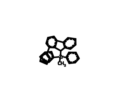 [CH3][Zr]([c]1ccccc1)([c]1ccccc1)[CH]1c2ccccc2-c2cccc(C3=CC=CC3)c21